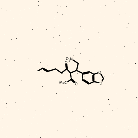 CC=CCCC(=O)C(C(=O)OC)C(C[N+](=O)[O-])c1ccc2c(c1)OCO2